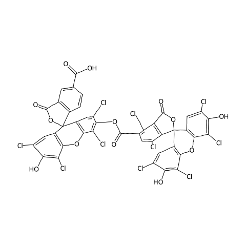 O=C(O)c1ccc2c(c1)C(=O)OC21c2cc(Cl)c(O)c(Cl)c2Oc2c1cc(Cl)c(OC(=O)c1cc(Cl)c3c(c1Cl)C(=O)OC31c3cc(Cl)c(O)c(Cl)c3Oc3c1cc(Cl)c(O)c3Cl)c2Cl